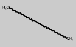 CCCCCCCCCCCCCCCCCCCC[CH]CCCCCCCCCCCCCCCCCCCCCCC